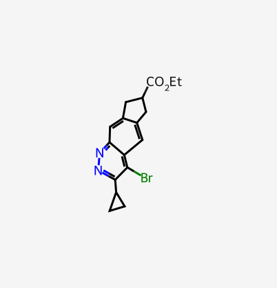 CCOC(=O)C1Cc2cc3nnc(C4CC4)c(Br)c3cc2C1